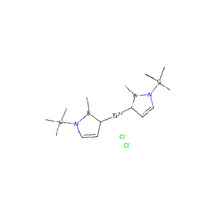 CB1[CH]([Ti+2][CH]2C=CN([Si](C)(C)C)B2C)C=CN1[Si](C)(C)C.[Cl-].[Cl-]